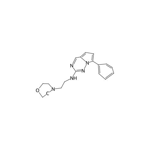 c1ccc(-c2ccc3cnc(NCCN4CCOCC4)nn23)cc1